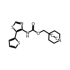 O=C(Nc1ncsc1-c1cccs1)OCC12CCN(CC1)CC2